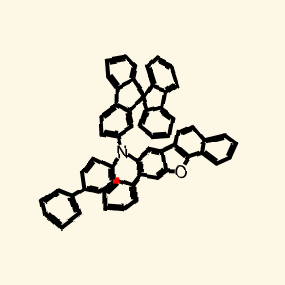 c1ccc(-c2ccc(N(c3ccc4c(c3)C3(c5ccccc5-c5ccccc53)c3ccccc3-4)c3cc4c(cc3-c3ccccc3)oc3c5ccccc5ccc43)cc2)cc1